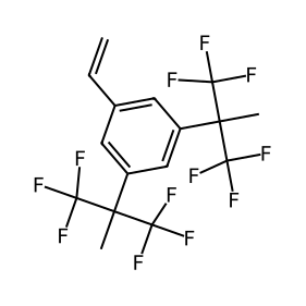 C=Cc1cc(C(C)(C(F)(F)F)C(F)(F)F)cc(C(C)(C(F)(F)F)C(F)(F)F)c1